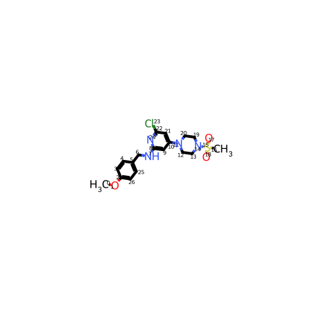 COc1ccc(CNc2cc(N3CCN(S(C)(=O)=O)CC3)cc(Cl)n2)cc1